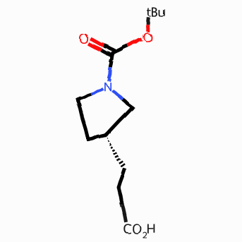 CC(C)(C)OC(=O)N1CC[C@@H](CCC(=O)O)C1